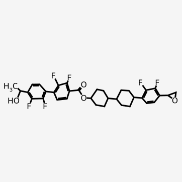 CC(O)c1ccc(-c2ccc(C(=O)OC3CCC(C4CCC(c5ccc(C6CO6)c(F)c5F)CC4)CC3)c(F)c2F)c(F)c1F